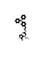 CN(CC(=O)OCCc1ccc([S+](c2ccccc2)c2ccccc2)cc1)C1CCOC1=O